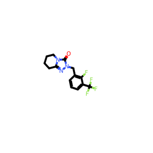 O=c1n(Cc2cccc(C(F)(F)F)c2F)nc2n1CCCC2